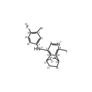 Cc1cc(Nc2cnc(C)c3c2C2CCC3CC2)ccc1F